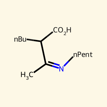 CCCCCN=C(C)C(CCCC)C(=O)O